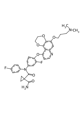 CN(C)CCCOc1cc2nccc(Oc3ccc(N(C(=O)C4(C(N)=O)CC4)c4ccc(F)cc4)cc3F)c2c2c1OCCO2